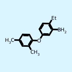 Bc1cc(Oc2ccc(C)cc2C)ccc1CC